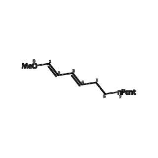 [CH2]OC=CC=CCCCCCCC